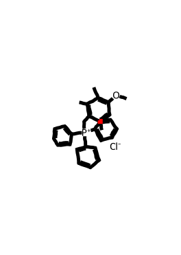 COc1cc(C)c(C[P+](c2ccccc2)(c2ccccc2)c2ccccc2)c(C)c1C.[Cl-]